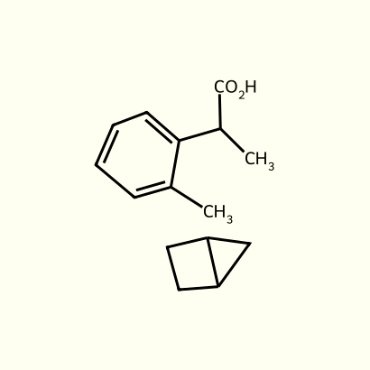 C1CC2CC12.Cc1ccccc1C(C)C(=O)O